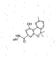 CCCNC(=O)c1cc(O)c2c(c1)OC(C)(C)c1ccc(C)cc1-2